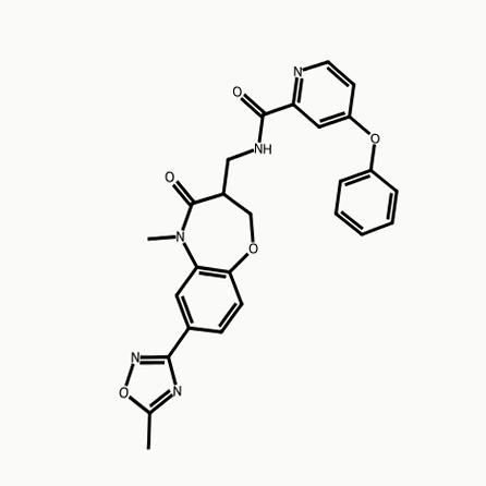 Cc1nc(-c2ccc3c(c2)N(C)C(=O)C(CNC(=O)c2cc(Oc4ccccc4)ccn2)CO3)no1